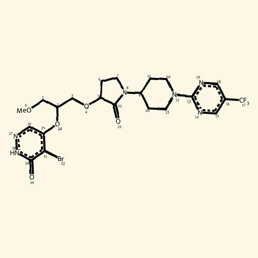 COCC(COC1CCN(C2CCN(c3ncc(C(F)(F)F)cn3)CC2)C1=O)Oc1cn[nH]c(=O)c1Br